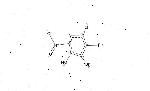 O=[N+]([O-])c1cc(Cl)c(F)c(Br)c1O